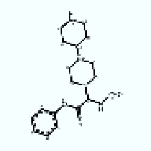 O=CNC(C(=O)Oc1ccccc1)N1CCN(C2CCNCC2)CC1